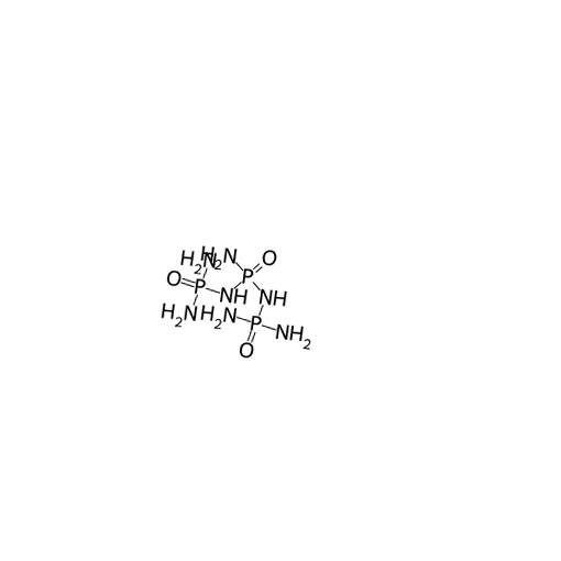 NP(N)(=O)NP(N)(=O)NP(N)(N)=O